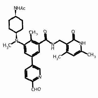 CC(=O)N[C@H]1CC[C@@H](N(C)c2cc(-c3ccc(C=O)nc3)cc(C(=O)NCc3c(C)cc(C)[nH]c3=O)c2C)CC1